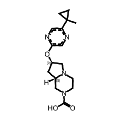 CC1(c2cnc(O[C@@H]3C[C@H]4CN(C(=O)O)CCN4C3)cn2)CC1